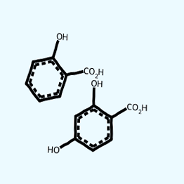 O=C(O)c1ccc(O)cc1O.O=C(O)c1ccccc1O